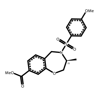 COC(=O)c1ccc2c(c1)OC[C@H](C)N(S(=O)(=O)c1ccc(OC)cc1)C2